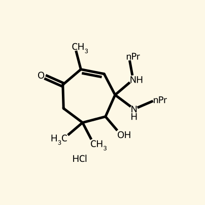 CCCNC1(NCCC)C=C(C)C(=O)CC(C)(C)C1O.Cl